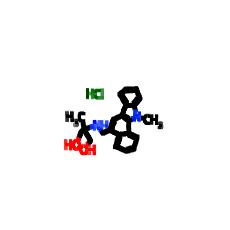 Cl.Cn1c2ccccc2c2cc(CNC(C)(CO)CO)c3ccccc3c21